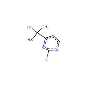 CC(C)(O)c1ccnc(Cl)n1